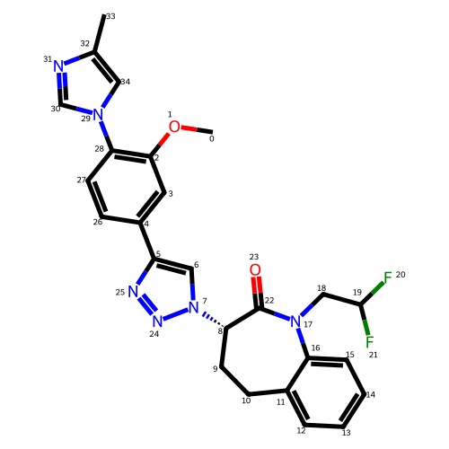 COc1cc(-c2cn([C@H]3CCc4ccccc4N(CC(F)F)C3=O)nn2)ccc1-n1cnc(C)c1